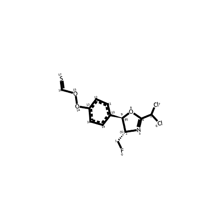 FC[C@H]1N=C(C(Cl)Cl)O[C@@H]1c1ccc(OOC=S)cc1